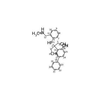 CCC(CC)(Pc1ccccc1CNC)c1cc(-c2ccccc2)ccc1O